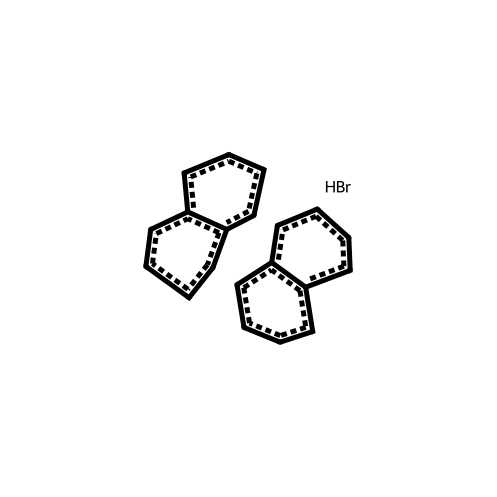 Br.c1ccc2ccccc2c1.c1ccc2ccccc2c1